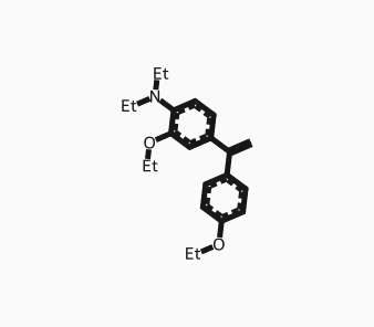 C=C(c1ccc(OCC)cc1)c1ccc(N(CC)CC)c(OCC)c1